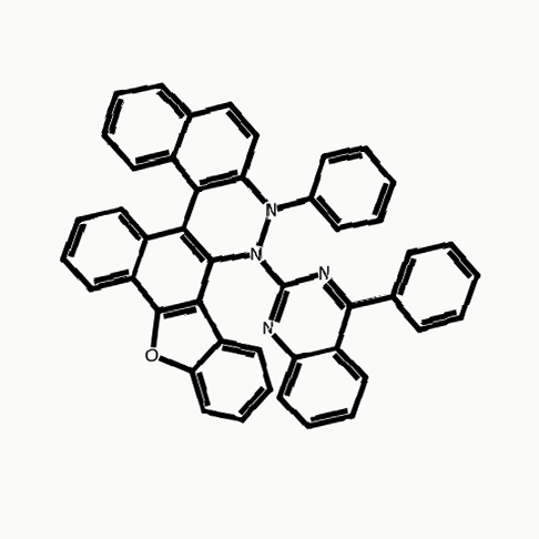 c1ccc(-c2nc(N3c4c(c5ccccc5c5oc6ccccc6c45)-c4c(ccc5ccccc45)N3c3ccccc3)nc3ccccc23)cc1